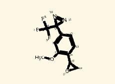 COc1cc(C2(C(F)(F)F)N=N2)ccc1C1CO1